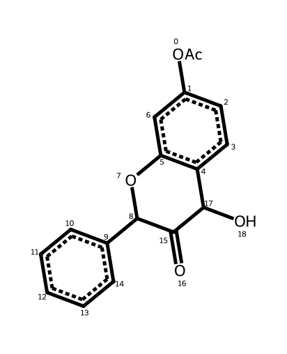 CC(=O)Oc1ccc2c(c1)OC(c1ccccc1)C(=O)C2O